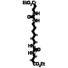 CCOC(=O)CCNC(=O)NCCCCCCNC(=O)NCCC(=O)OCC